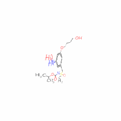 CC(C)OC(=O)N=S(C)(=O)Cc1cc(NO)cc(OCCCCO)c1